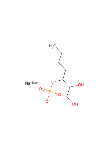 CCCCC(OP(=O)([O-])[O-])C(O)CO.[Na+].[Na+]